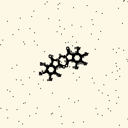 O=C1c2c(Br)c(Br)c(Br)c(Br)c2C(=O)N1CN1C(=O)c2c(Br)c(Br)c(Br)c(Br)c2C1=O